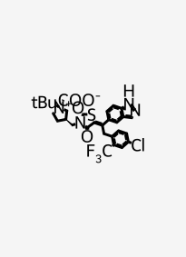 CC(C)(C)[N+]1(C(=O)[O-])CC[C@H](CN2C(=O)S/C(=C(/Cc3ccc(Cl)cc3C(F)(F)F)c3ccc4[nH]ncc4c3)C2=O)C1